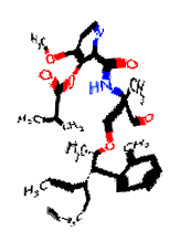 CCC(CC)[C@@H](c1ccccc1C)[C@H](C)OC[C@@](C)(C=O)NC(=O)c1nccc(OC)c1OC(=O)C(C)C